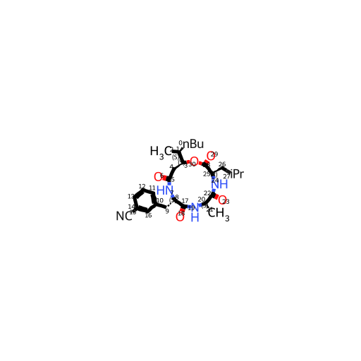 CCCC[C@H](C)[C@@H]1CC(=O)N[C@@H](Cc2cccc(C#N)c2)C(=O)N[C@@H](C)C(=O)N[C@H](CC(C)C)C(=O)O1